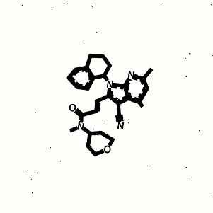 Cc1cc(C)c2c(C#N)c(C=CC(=O)N(C)C3CCOCC3)n(C3CCCc4ccccc43)c2n1